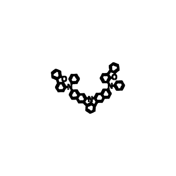 c1ccc(N(c2ccc3cc4c5cccc6c7cc8ccc(N(c9ccccc9)c9cccc%10c9oc9ccccc9%10)cc8cc7n(c4cc3c2)c56)c2cccc3c2oc2ccccc23)cc1